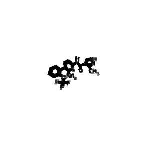 Cc1n[nH]cc1C(=O)Nc1ccc(-c2ccccc2OC(F)(F)F)c(N)n1